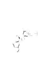 C=Cc1cccc(C(=O)OC2=CC(O)OC(C)=C2)c1